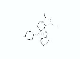 O=C1NC(O)c2c1ccc(Nc1ccccc1)c2Nc1ccccc1